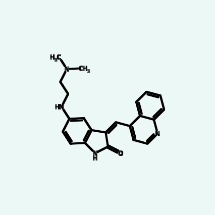 CN(C)CCNc1ccc2c(c1)C(=Cc1ccnc3ccccc13)C(=O)N2